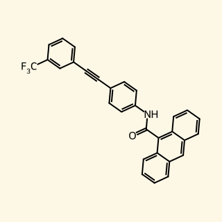 O=C(Nc1ccc(C#Cc2cccc(C(F)(F)F)c2)cc1)c1c2ccccc2cc2ccccc12